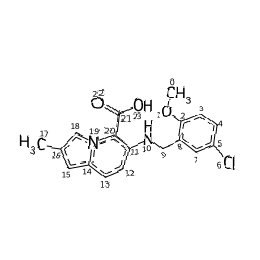 COc1ccc(Cl)cc1CNc1ccc2cc(C)cn2c1C(=O)O